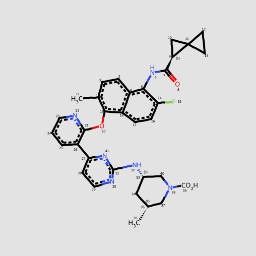 Cc1ccc2c(NC(=O)[C@H]3CC34CC4)c(F)ccc2c1Oc1ncccc1-c1ccnc(N[C@H]2C[C@@H](C)CN(C(=O)O)C2)n1